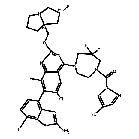 N#Cc1cnn(C(=O)N2CCN(c3nc(OC[C@@]45CCCN4C[C@H](F)C5)nc4c(F)c(-c5ccc(F)c6sc(N)nc56)c(Cl)cc34)CC(F)(F)C2)c1